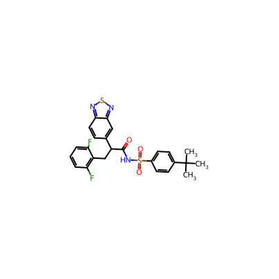 CC(C)(C)c1ccc(S(=O)(=O)NC(=O)C(Cc2c(F)cccc2F)c2ccc3nsnc3c2)cc1